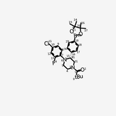 CC(C)(C)C(=O)N1CCN(c2ccc(Cl)cc2F)[C@H](c2ccc(B3OC(C)(C)C(C)(C)O3)cc2)C1